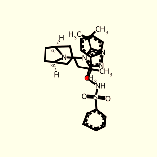 Cc1nnc(C(C)C)n1C1C[C@H]2CC[C@@H](C1)N2CCC(C)(CNS(=O)(=O)c1ccccc1)c1ccccc1